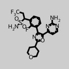 Nc1nccc(-c2oc(C3CCOCC3)nc2-c2cccc(C(CC(F)(F)F)S(N)(=O)=O)c2F)n1